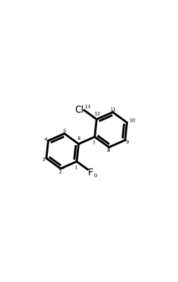 Fc1[c]cccc1-c1ccccc1Cl